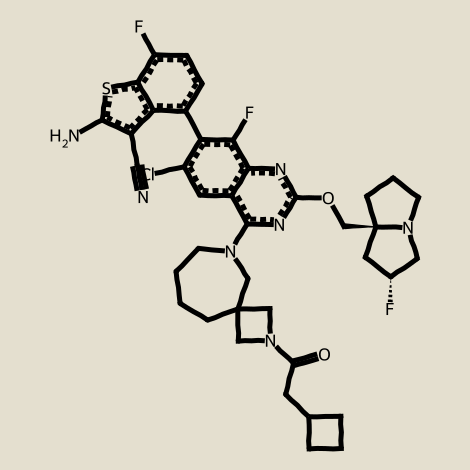 N#Cc1c(N)sc2c(F)ccc(-c3c(Cl)cc4c(N5CCCCC6(CN(C(=O)CC7CCC7)C6)C5)nc(OC[C@@]56CCCN5C[C@H](F)C6)nc4c3F)c12